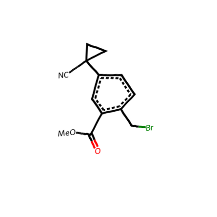 COC(=O)c1cc(C2(C#N)CC2)ccc1CBr